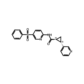 O=C(Nc1ccc(S(=O)(=O)c2ccccc2)cn1)[C@H]1C[C@@H]1c1cccnc1